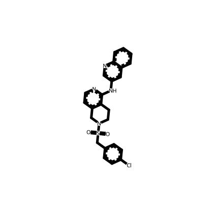 O=S(=O)(Cc1ccc(Cl)cc1)N1CCc2c(ccnc2Nc2cnc3ccccc3c2)C1